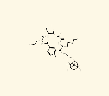 CCCCCCCCc1ccc(C(=O)N[C@@H](CCN)C(=O)N[C@H](C(=O)N[C@@H](C)C(=O)N[C@@H](CCCCN)C(=O)N[C@@H](C)B2OC3C[C@@H]4C[C@@H](C4(C)C)[C@]3(C)O2)[C@@H](C)O)cc1